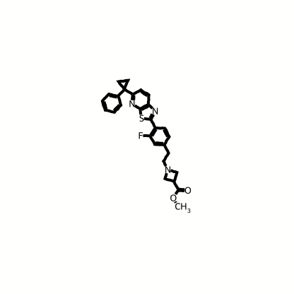 COC(=O)C1CN(CCc2ccc(-c3nc4ccc(C5(c6ccccc6)CC5)nc4s3)c(F)c2)C1